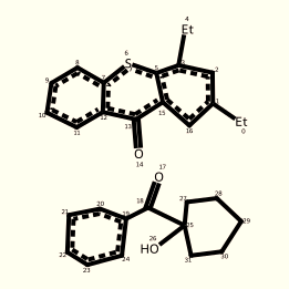 CCc1cc(CC)c2sc3ccccc3c(=O)c2c1.O=C(c1ccccc1)C1(O)CCCCC1